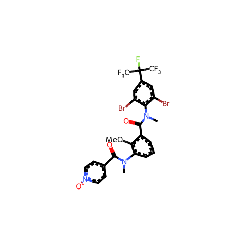 COc1c(C(=O)N(C)c2c(Br)cc(C(F)(C(F)(F)F)C(F)(F)F)cc2Br)cccc1N(C)C(=O)c1cc[n+]([O-])cc1